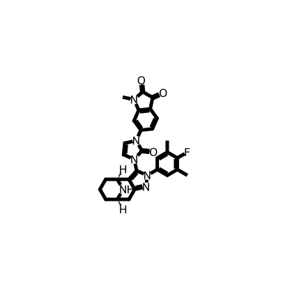 Cc1cc(-n2nc3c(c2-n2ccn(-c4ccc5c(c4)N(C)C(=O)C5=O)c2=O)[C@@H]2CCC[C@H](C3)N2)cc(C)c1F